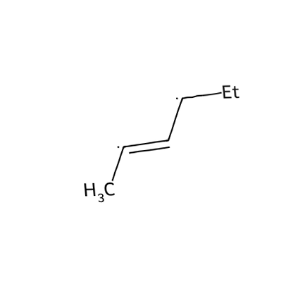 C/[C]=C/[CH]CC